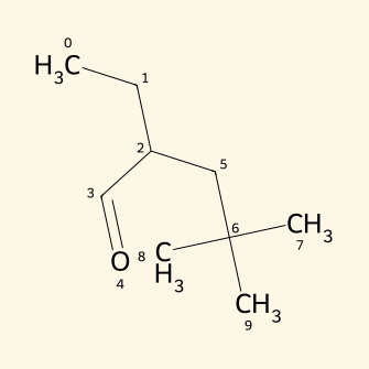 CCC(C=O)CC(C)(C)C